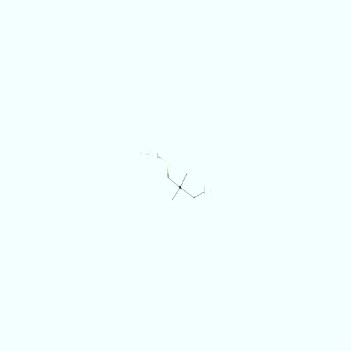 [Li][CH2]C(C)(C)CSC(C)(C)C